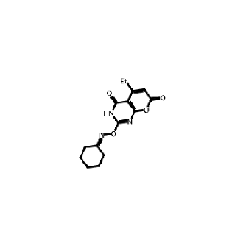 CCc1cc(=O)oc2nc(ON=C3CCCCC3)[nH]c(=O)c12